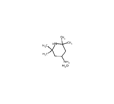 CC1(C)CC(N)CC(C)(C)N1.O